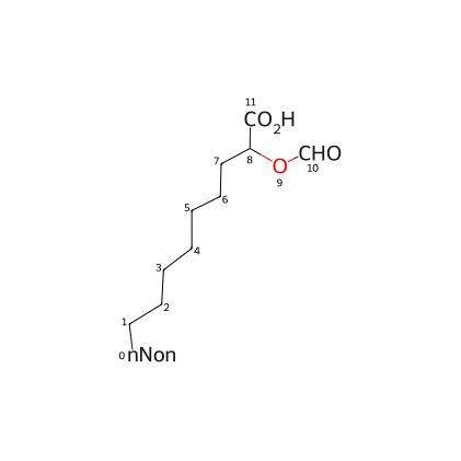 CCCCCCCCCCCCCCCCC(OC=O)C(=O)O